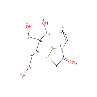 C=CN1CCCC1=O.OCCCC(CO)CO